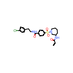 C=CC(=O)NC1CCCCN(S(=O)(=O)c2ccc(C(=O)NCCc3ccc(Cl)cc3)cc2)C1